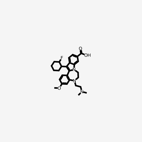 COc1ccc2c(c1)N(CCN(C)C)CCn1c-2c(C2CCCCC2F)c2ccc(C(=O)O)cc21